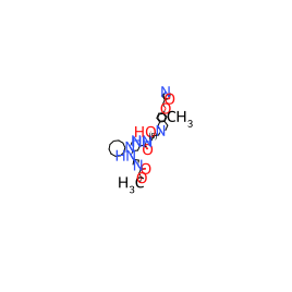 COCC(=O)N1CC(NC2CC(C(=O)NC[C@H](O)CN3CCc4c(ccc(OCc5cnco5)c4C)C3)NCN2C2CCCCCCCCC2)C1